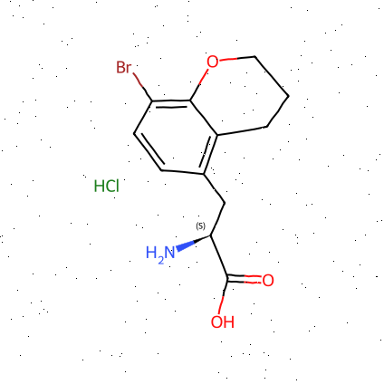 Cl.N[C@@H](Cc1ccc(Br)c2c1CCCO2)C(=O)O